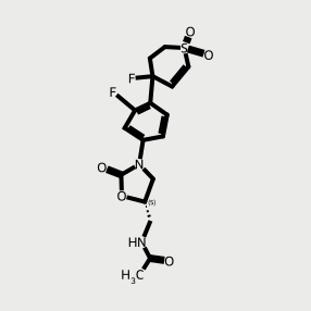 CC(=O)NC[C@H]1CN(c2ccc(C3(F)C=CS(=O)(=O)CC3)c(F)c2)C(=O)O1